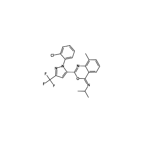 Cc1cccc2c(=NC(C)C)oc(-c3cc(C(F)(F)F)nn3-c3ccccc3Cl)nc12